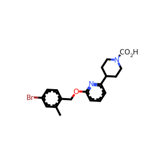 Cc1cc(Br)ccc1COc1cccc(C2CCN(C(=O)O)CC2)n1